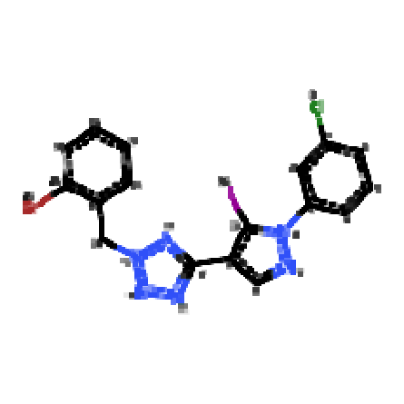 Clc1cccc(-n2ncc(-c3nnn(Cc4ccccc4Br)n3)c2I)c1